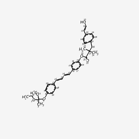 CCOC(C)(OC)Oc1ccc(C=CC=Cc2ccc(OC(=O)C(C)(C)Cc3ccc(C=CO)cc3)cc2)cc1